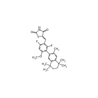 COc1cc(F)c(C=C2SC(=O)NC2=O)c(F)c1-c1cc2c(cc1C)C(C)(C)CCC2(C)C